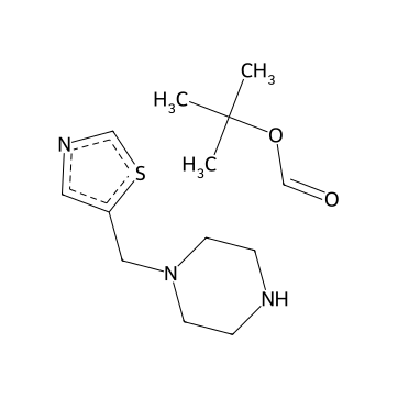 CC(C)(C)OC=O.c1ncc(CN2CCNCC2)s1